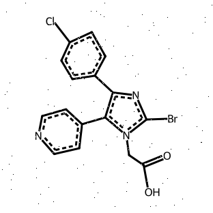 O=C(O)Cn1c(Br)nc(-c2ccc(Cl)cc2)c1-c1ccncc1